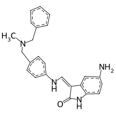 CN(Cc1ccccc1)Cc1ccc(NC=C2C(=O)Nc3ccc(N)cc32)cc1